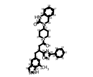 Cc1cc(CC(CC(=O)N2CCC(N3Cc4ccccc4NC3=O)CC2)c2nc(-c3ccccc3)no2)cc2cn[nH]c12